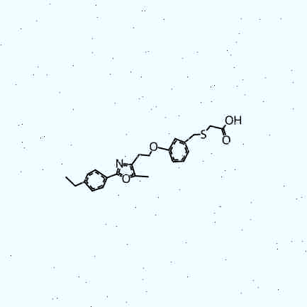 CCc1ccc(-c2nc(CCOc3cccc(CSCC(=O)O)c3)c(C)o2)cc1